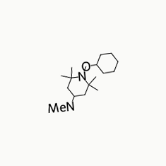 CNC1CC(C)(C)N(OC2CCCCC2)C(C)(C)C1